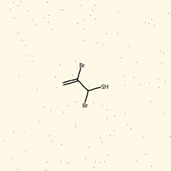 C=C(Br)C(S)Br